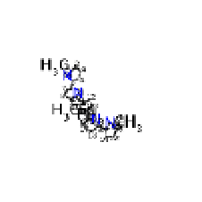 Cc1cccc(-c2cccc(C3=CC=C(c4cccc(-c5cccc(C)n5)n4)[Si]3(C)C)n2)n1